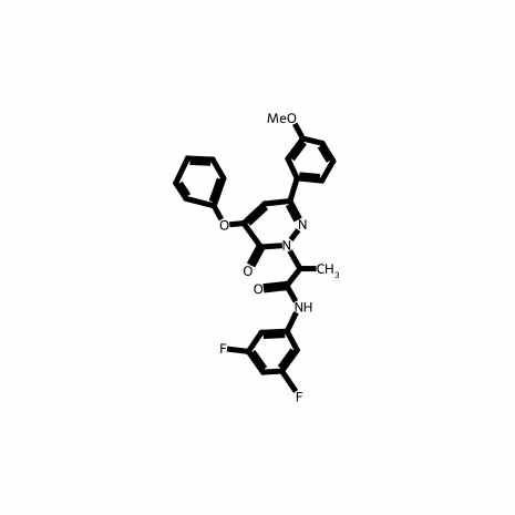 COc1cccc(-c2cc(Oc3ccccc3)c(=O)n(C(C)C(=O)Nc3cc(F)cc(F)c3)n2)c1